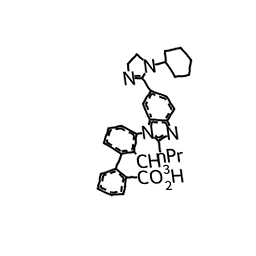 CCCc1nc2ccc(C3=NCCN3C3CCCCC3)cc2n1-c1cccc(-c2ccccc2C(=O)O)c1C